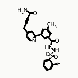 Cc1cc(C(=O)NNS(=O)(=O)c2ccccc2F)cc(-c2cc(CC#CC(N)=O)ccn2)c1